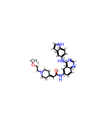 COCCN1CCC(=CC(=O)Nc2ccc3ncnc(Nc4ccc5[nH]ccc5c4)c3c2)CC1